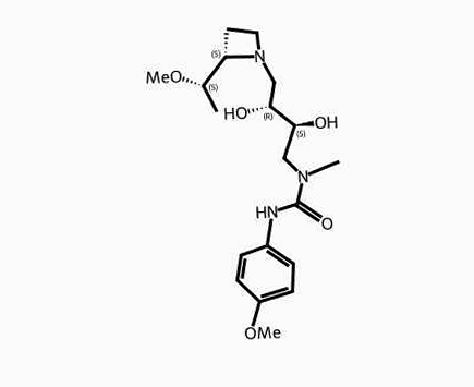 COc1ccc(NC(=O)N(C)C[C@H](O)[C@H](O)CN2CC[C@H]2[C@H](C)OC)cc1